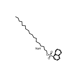 CCCCCCCCCCCCCCCCCCOS(=O)(=O)c1cccc2ccccc12.[NaH]